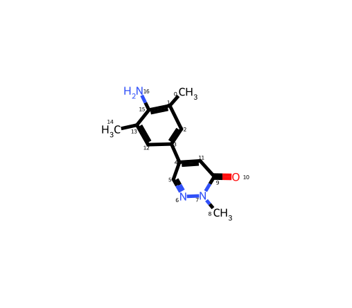 Cc1cc(-c2cnn(C)c(=O)c2)cc(C)c1N